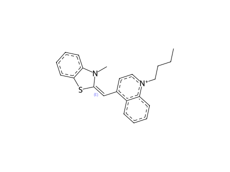 CCCC[n+]1ccc(/C=C2/Sc3ccccc3N2C)c2ccccc21